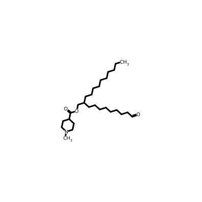 CCCCCCCCCCC(CCCCCCCCC=O)COC(=O)C1CCN(C)CC1